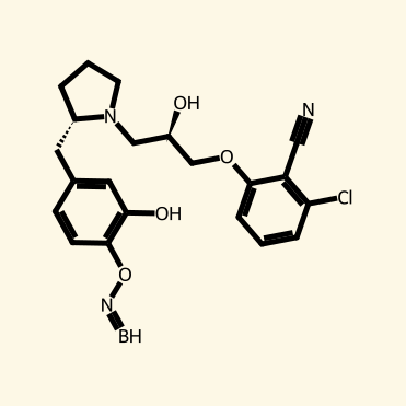 B=NOc1ccc(C[C@@H]2CCCN2C[C@@H](O)COc2cccc(Cl)c2C#N)cc1O